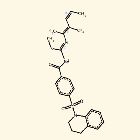 C\C=C/C(C)=C(C)/N=C(/NC(=O)c1ccc(S(=O)(=O)N2CCCc3ccccc32)cc1)SC